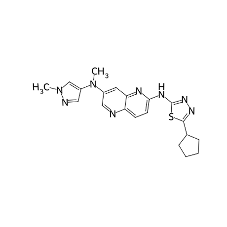 CN(c1cnc2ccc(Nc3nnc(C4CCCC4)s3)nc2c1)c1cnn(C)c1